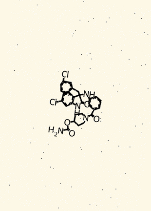 NC(=O)OC1CCN(C(=O)c2cccc(NC3(Cc4cccc(Cl)c4)C(=O)Nc4cc(Cl)ccc43)c2)CC1